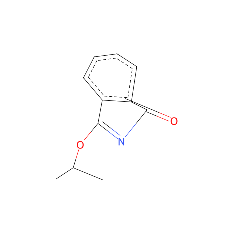 CC(C)OC1=NC(=O)c2ccccc21